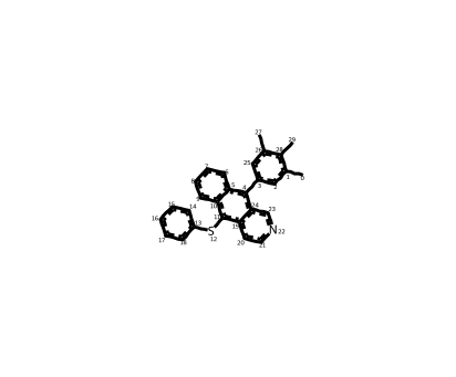 Cc1cc(-c2c3ccccc3c(Sc3ccccc3)c3ccncc23)cc(C)c1C